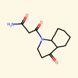 NC(=O)CC(=O)N1CCC(=O)C2CCCCC21